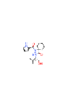 CC(C)[C@@H](CO)NC(=O)C1(NC(=O)c2ccc[nH]2)CCCCC1